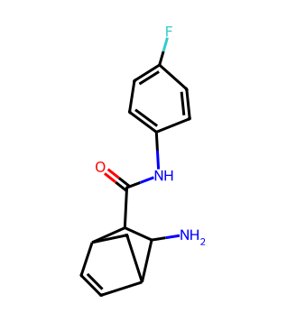 NC1C2C=CC(C2)C1C(=O)Nc1ccc(F)cc1